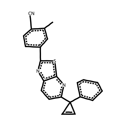 Cc1cc(-c2nc3ccc(C4(c5ccccc5)C=C4)nc3s2)ccc1C#N